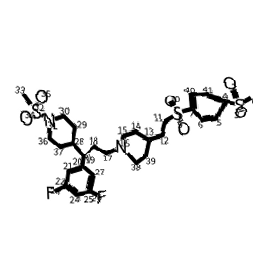 CS(=O)(=O)c1ccc(S(=O)(=O)CCC2CCN(CC[C@@H](c3cc(F)cc(F)c3)C3CCN(S(C)(=O)=O)CC3)CC2)cc1